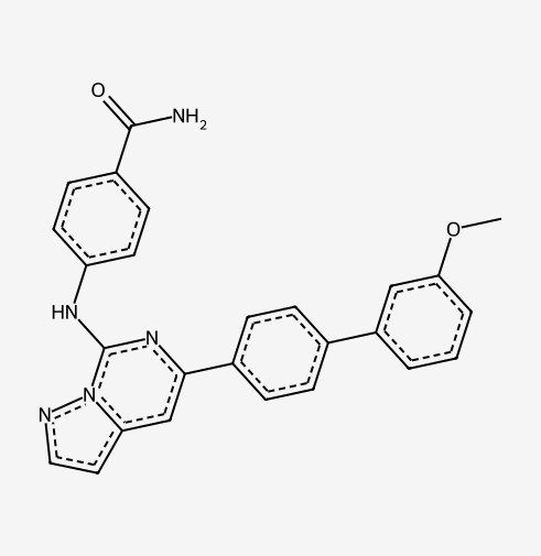 COc1cccc(-c2ccc(-c3cc4ccnn4c(Nc4ccc(C(N)=O)cc4)n3)cc2)c1